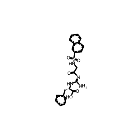 NC(=NC(=O)CNS(=O)(=O)c1ccc2ccccc2c1)N[C@@H](Cc1ccccc1)C(=O)O